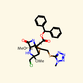 COC1(CCl)N[C@@]2(OC)C(=O)N3C(C(=O)OC(c4ccccc4)c4ccccc4)=C(CSc4nnnn4C)C1S[C@H]32